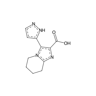 O=C(O)c1nc2n(c1-c1ccn[nH]1)CCCC2